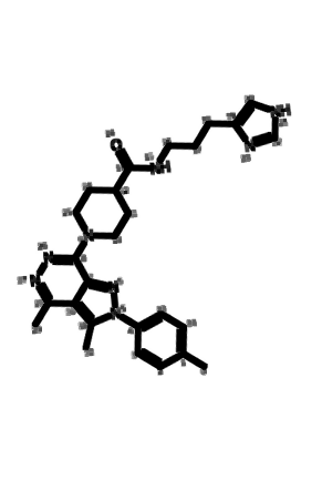 Cc1ccc(-n2nc3c(N4CCC(C(=O)NCCCc5c[nH]cn5)CC4)nnc(C)c3c2C)cc1